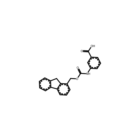 O=C(Nc1cccc(C(=O)O)c1)OCc1cccc2c1Cc1ccccc1-2